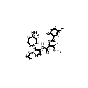 Nc1sc(-c2cc(F)ccc2F)nc1C(=O)Nc1cnn(CC(F)F)c1N1CCCC(N)CC1